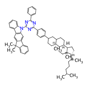 CC(C)CCC[C@@H](C)[C@H]1CCC2[C@@H]3CCC4CC(c5ccc(-c6nc(-c7ccccc7)nc(-n7c8ccccc8c8cc9c(cc87)-c7ccccc7C9(C)C)n6)cc5)CC[C@]4(C)C3CC[C@@]21C